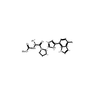 COC(=O)N[C@H](C(=O)N1CCC[C@H]1c1ncc(-c2ccc(C)c3ccoc23)[nH]1)C(C)C